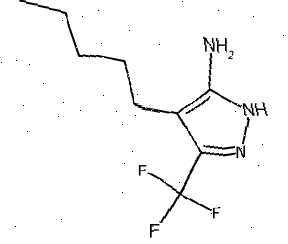 CCCCCc1c(C(F)(F)F)n[nH]c1N